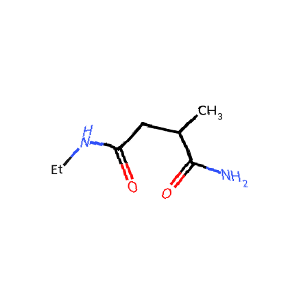 CCNC(=O)CC(C)C(N)=O